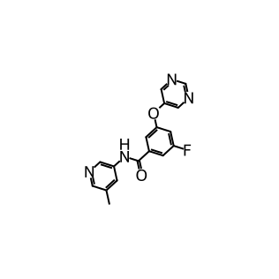 Cc1cncc(NC(=O)c2cc(F)cc(Oc3cncnc3)c2)c1